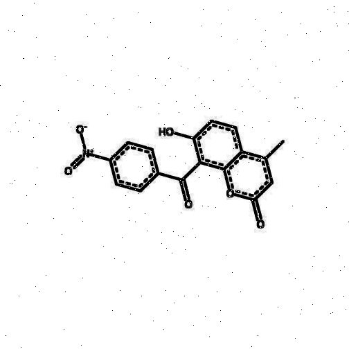 Cc1cc(=O)oc2c(C(=O)c3ccc([N+](=O)[O-])cc3)c(O)ccc12